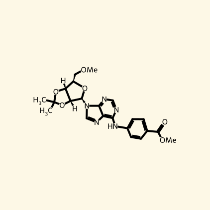 COC[C@H]1O[C@@H](n2cnc3c(Nc4ccc(C(=O)OC)cc4)ncnc32)[C@@H]2OC(C)(C)O[C@@H]21